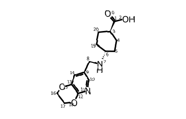 O=C(O)[C@H]1CC[C@H](NCc2cnc3c(c2)OCCO3)CC1